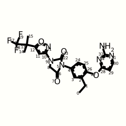 CCc1cc(N2C(=O)CN(c3cc(C(C)(C)C(F)(F)F)on3)C2=O)ccc1Oc1ccnc(N)n1